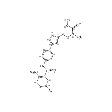 CNC1=C(C(=N)Nc2ccc(-c3cnn(CCN(C)C(=O)OC(C)(C)C)c3)cc2)CN(C(C)=O)CC1